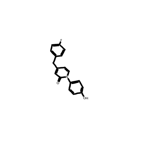 O=c1cc(Cc2ccc(F)cc2)ccn1-c1ccc(O)cc1